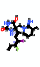 C=C/C(F)=C(I)\C=C(/C)[C@]1(Cn2cccc(C)c2=N)NC(=O)NC1=O